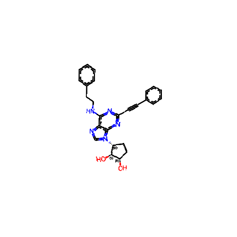 O[C@@H]1[C@H](O)CC[C@H]1n1cnc2c(NCCc3ccccc3)nc(C#Cc3ccccc3)nc21